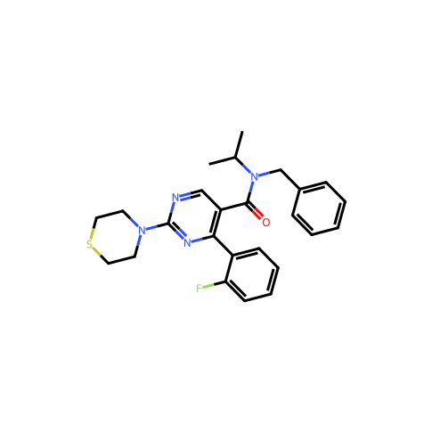 CC(C)N(Cc1ccccc1)C(=O)c1cnc(N2CCSCC2)nc1-c1ccccc1F